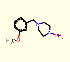 COc1cccc(CN2CCN(P)CC2)c1